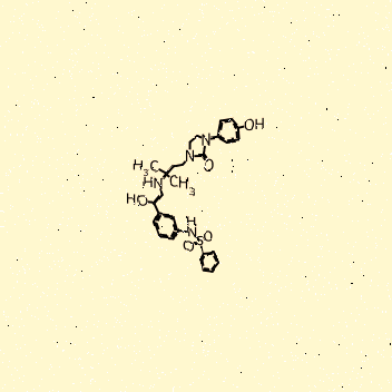 CC(C)(CCN1CCN(c2ccc(O)cc2)C1=O)NCC(O)c1cccc(NS(=O)(=O)c2ccccc2)c1